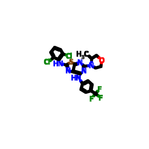 CC1COCCN1c1nc(Nc2ccc(C(F)(F)F)cc2)c2nc(Nc3c(Cl)cccc3Cl)sc2n1